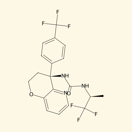 C[C@H](NC(=O)N[C@]1(c2ccc(C(F)(F)F)cc2)CCOc2cccnc21)C(F)(F)F